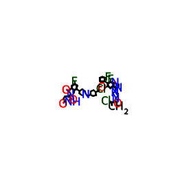 C=C(Cl)C(=O)N1CCN(c2ncnc3c(F)c(-c4c(F)cccc4OCCC4CCC(CN5CCC(c6cc(F)cc7c6CN(C6CCC(=O)NC6=O)C7=O)CC5)CC4)c(Cl)cc23)CC1